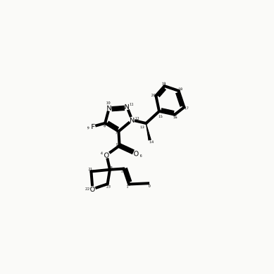 C/C=C/C1(OC(=O)c2c(F)nnn2[C@H](C)c2ccccc2)COC1